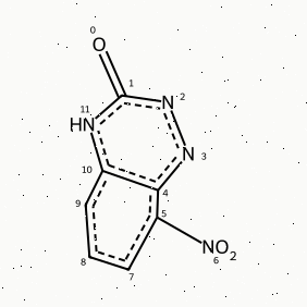 O=c1nnc2c([N+](=O)[O-])cccc2[nH]1